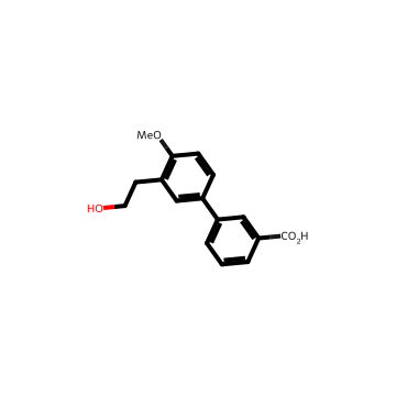 COc1ccc(-c2cccc(C(=O)O)c2)cc1CCO